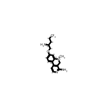 CN1Cc2c(ccnc2N)-c2ccc(OCC(N)CCC(F)(F)F)cc21